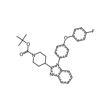 CC(C)(C)OC(=O)N1CCC(c2nc3ccccc3n2-c2ccc(Oc3ccc(F)cc3)cc2)CC1